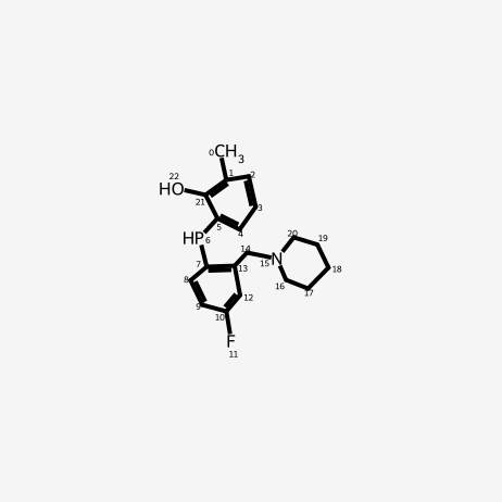 Cc1cccc(Pc2ccc(F)cc2CN2CCCCC2)c1O